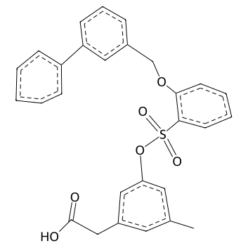 Cc1cc(CC(=O)O)cc(OS(=O)(=O)c2ccccc2OCc2cccc(-c3ccccc3)c2)c1